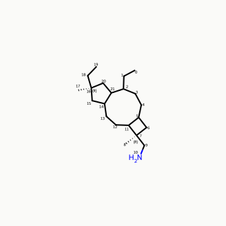 CCC1CCC2C[C@@](C)(CN)C2CCC2C[C@@](C)(CC)CC12